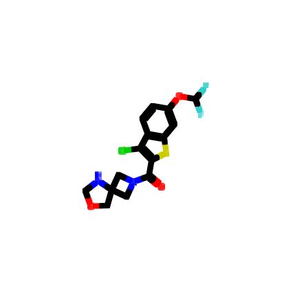 O=C(c1sc2cc(OC(F)F)ccc2c1Cl)N1CC2(COCN2)C1